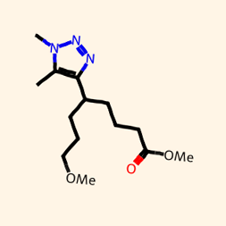 COCCCC(CCCC(=O)OC)c1nnn(C)c1C